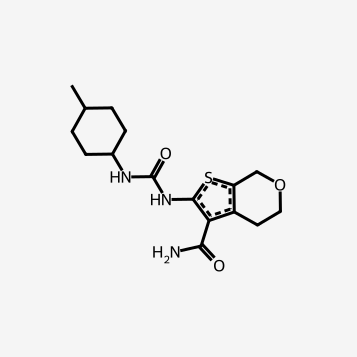 CC1CCC(NC(=O)Nc2sc3c(c2C(N)=O)CCOC3)CC1